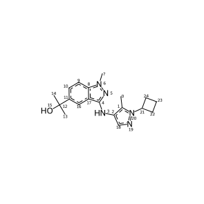 Cc1c(Nc2nn(C)c3ccc(C(C)(C)O)cc23)cnn1C1CCC1